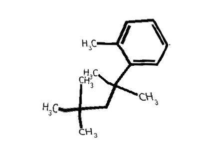 Cc1cc[c]cc1C(C)(C)CC(C)(C)C